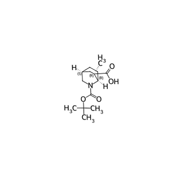 CC(C)(C)OC(=O)N1C[C@H]2CC[C@@H]1[C@](C)(C(=O)O)C2